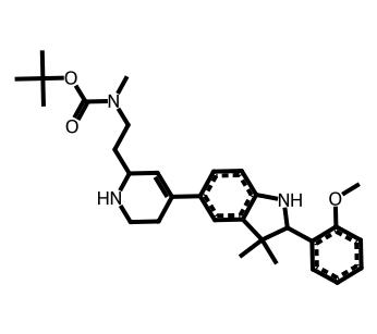 COc1ccccc1C1Nc2ccc(C3=CC(CCN(C)C(=O)OC(C)(C)C)NCC3)cc2C1(C)C